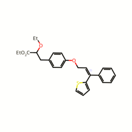 CCOC(=O)C(Cc1ccc(OC/C=C(/c2ccccc2)c2cccs2)cc1)OCC